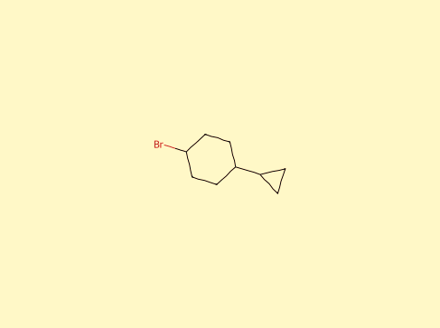 BrC1CCC(C2CC2)CC1